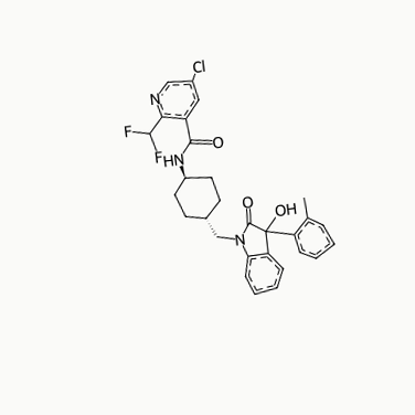 Cc1ccccc1C1(O)C(=O)N(C[C@H]2CC[C@H](NC(=O)c3cc(Cl)cnc3C(F)F)CC2)c2ccccc21